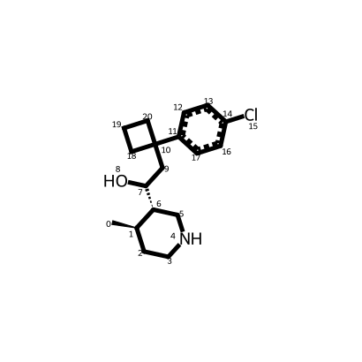 C[C@@H]1CCNC[C@H]1C(O)CC1(c2ccc(Cl)cc2)CCC1